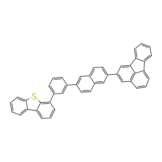 c1cc(-c2ccc3cc(-c4cc5c6c(cccc6c4)-c4ccccc4-5)ccc3c2)cc(-c2cccc3c2sc2ccccc23)c1